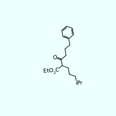 CCOC(=O)C(CCCC(C)C)C(=O)CCCc1ccccc1